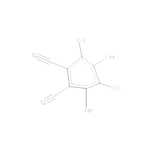 Bc1c(B)c(C#N)c(C#N)c(B)c1O